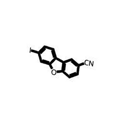 N#Cc1ccc2oc3cc(I)ccc3c2c1